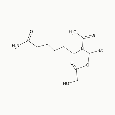 CCC(OC(=O)CO)N(CCCCCC(N)=O)C(C)=S